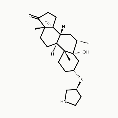 C[C@H]1C[C@H]2[C@@H]3CCC(=O)[C@@]3(C)CC[C@@H]2[C@@]2(C)CC[C@@H](S[C@H]3CCNC3)C[C@]12O